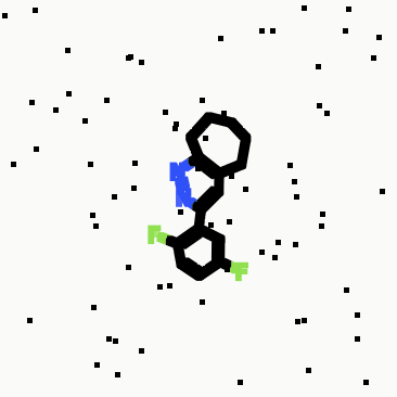 Fc1ccc(F)c(-c2cc3c(nn2)CCCCC3)c1